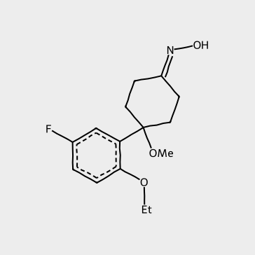 CCOc1ccc(F)cc1C1(OC)CCC(=NO)CC1